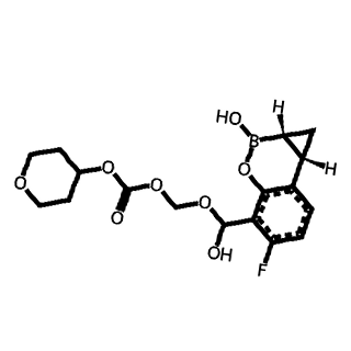 O=C(OCOC(O)c1c(F)ccc2c1OB(O)[C@@H]1C[C@H]21)OC1CCOCC1